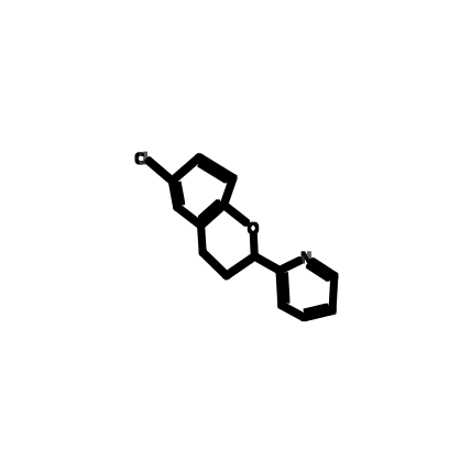 Clc1ccc2c(c1)CCC(c1ccccn1)O2